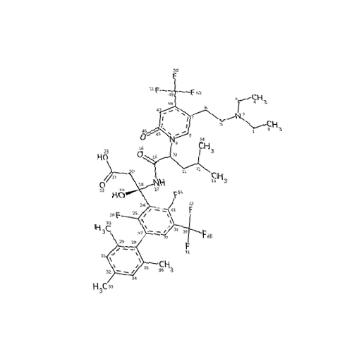 CCN(CC)CCc1cn(C(CC(C)C)C(=O)N[C@@](O)(CC(=O)O)c2c(F)c(-c3c(C)cc(C)cc3C)cc(C(F)(F)F)c2F)c(=O)cc1C(F)(F)F